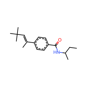 CCC(C)NC(=O)c1ccc(/C(C)=C/C(C)(C)C)cc1